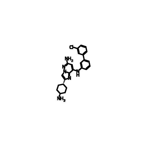 Nc1cc(Nc2cccc(-c3cccc(Cl)c3)c2)c2nc([C@H]3CC[C@H](N)CC3)cn2n1